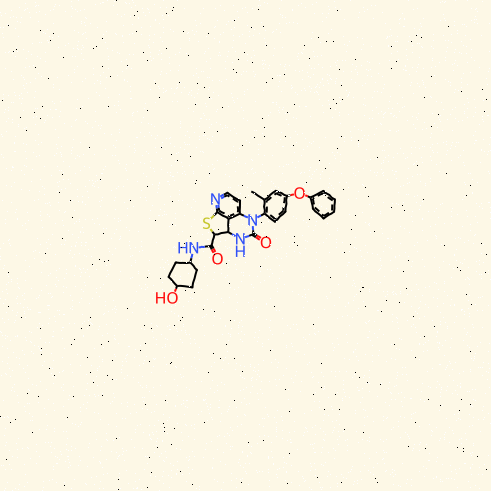 Cc1cc(Oc2ccccc2)ccc1N1C(=O)NC2c3c1ccnc3SC2C(=O)NC1CCC(O)CC1